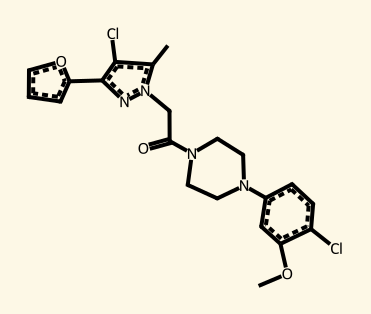 COc1cc(N2CCN(C(=O)Cn3nc(-c4ccco4)c(Cl)c3C)CC2)ccc1Cl